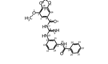 COc1cc(C(=O)NC(=N)Nc2cccc(NC(=O)c3ccccc3)c2)cc2c1OCO2